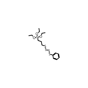 CCO[Si](CCCSSSSc1ccccc1)(OCC)OCC